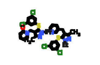 CCn1nc(C)c(Cc2cccnc2)c1Sc1cc(Cl)cc(Cl)c1.Cc1nn(C(C)C)c(Sc2cc(Cl)cc(Cl)c2)c1Cn1ccccc1=O